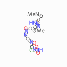 CNCc1ccccc1-c1csc([C@@H](C)Nc2nc(C)nc3cc(OC)c(C4CCC(C(=O)N5CCN(CC6CCC7(CC6)CCN(C(=O)c6ccc(Cl)c(N8CCC(=O)NC8=O)c6)CC7)CC5)CC4)cc23)c1